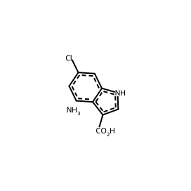 N.O=C(O)c1c[nH]c2cc(Cl)ccc12